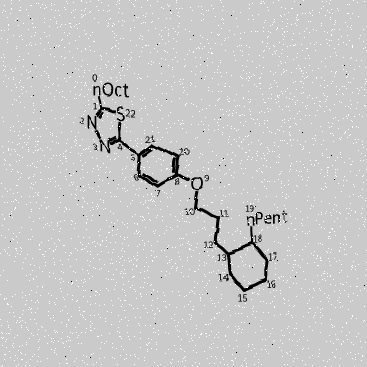 CCCCCCCCc1nnc(-c2ccc(OCCCC3CCCCC3CCCCC)cc2)s1